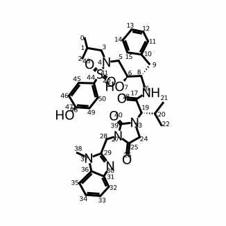 CC(C)CN(C[C@H](O)[C@H](Cc1ccccc1)NC(=O)[C@H](C(C)C)N1CC(=O)N(Cc2nc3ccccc3n2C)C1=O)S(=O)(=O)c1ccc(O)cc1